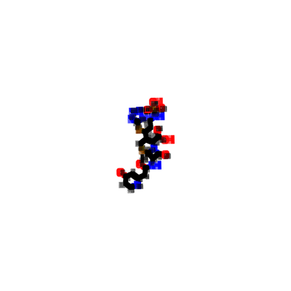 O=C1C=C(CC(=O)NC2C(=O)N3C(C(=O)O)=C(C(CCNS(=O)(=O)O)Sc4nnn[nH]4)CS[C@@H]23)N=CC1